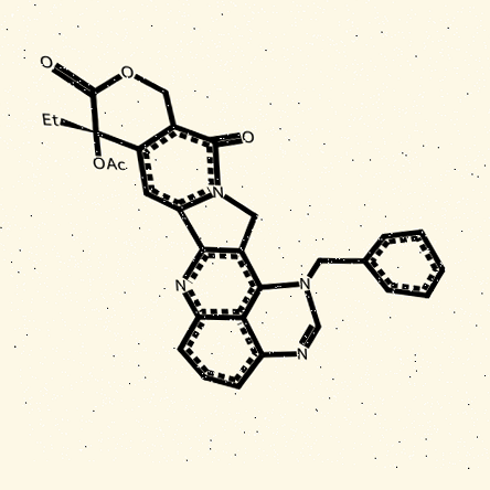 CC[C@@]1(OC(C)=O)C(=O)OCc2c1cc1n(c2=O)Cc2c-1nc1cccc3c1c2N(Cc1ccccc1)C=N3